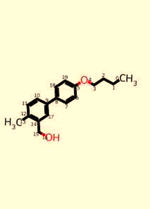 CCCCOc1ccc(-c2ccc(C)c(CO)c2)cc1